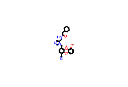 COc1cccc(Oc2cc(Cn3cncc3CNC(=O)CC3CCCCC3)ccc2C#N)c1OC